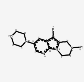 CC(C)N1CCn2c(c(F)c3cc(N4CCOCC4)cnc32)C1